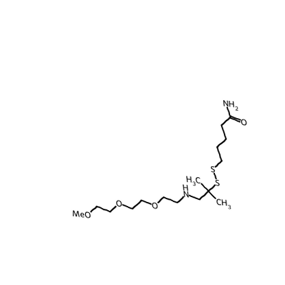 COCCOCCOCCNCC(C)(C)SSCCCCC(N)=O